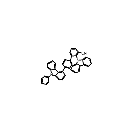 N#Cc1cccc(-c2ccc(-c3cccc4c3c3ccccc3n4-c3ccccc3)cc2)c1-n1c2ccccc2c2ccccc21